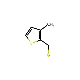 Cc1ccsc1C[S]